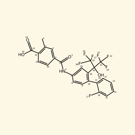 Cc1cc(C(=O)Nc2ccc(-c3ccccc3F)c(C(O)(C(F)(F)F)C(F)(F)F)c2)ccc1C(=O)O